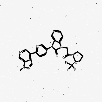 Cn1ncc2c(-c3ccc(-n4c(=O)n(CC(=O)N5CCC[C@H]5C(F)(F)F)c5ccccc54)cn3)cncc21